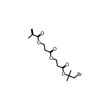 C=C(C)C(=O)OCCC(=O)OCCC(=O)OC(C)(C)CBr